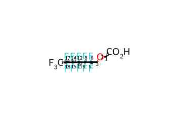 O=C(O)COCC(F)(F)C(F)(F)C(F)(F)C(F)(F)C(F)(F)C(F)(F)F